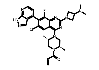 C=CC(=O)N1C[C@H](C)N(c2nc(N3CC(N(C)C)C3)nc3c(F)c(-c4ccnc5[nH]ncc45)c(Cl)cc23)C[C@H]1C